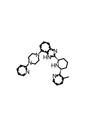 Cc1cccnc1[C@@H]1CCC[C@H](c2nc3cccc(N4CCN(c5ccccn5)CC4)c3[nH]2)N1